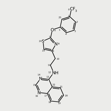 FC(F)(F)c1cccc(Oc2nc(CCNc3ncnc4ccccc34)cs2)c1